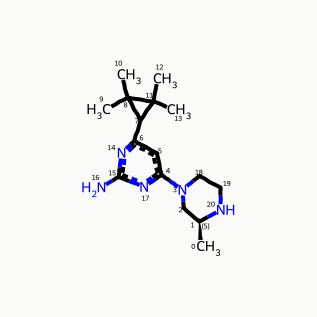 C[C@H]1CN(c2cc(C3C(C)(C)C3(C)C)nc(N)n2)CCN1